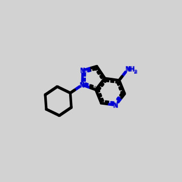 Nc1cncc2c1cnn2C1CCCCC1